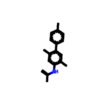 C=C(C)Nc1cc(C)c(-c2ccc(C)cc2)cc1C